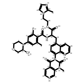 Cc1cc(N2CCOC[C@@H]2C(F)(F)F)cc(F)c1C(=O)NC(Cc1ccc(-n2c(=O)c3ccncc3n(C)c2=O)c2ncccc12)C(=O)OCCn1ccnc1C